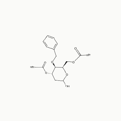 CCCC(=O)OC[C@H]1OC(O)C[C@H](OC(=O)CCC)[C@H]1OCc1ccccc1